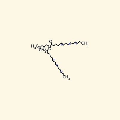 CC/C=C/C/C=C/C/C=C/CCCC(=O)OCC(CN(C)C)OC(=O)CCC/C=C/C/C=C/C/C=C/CC